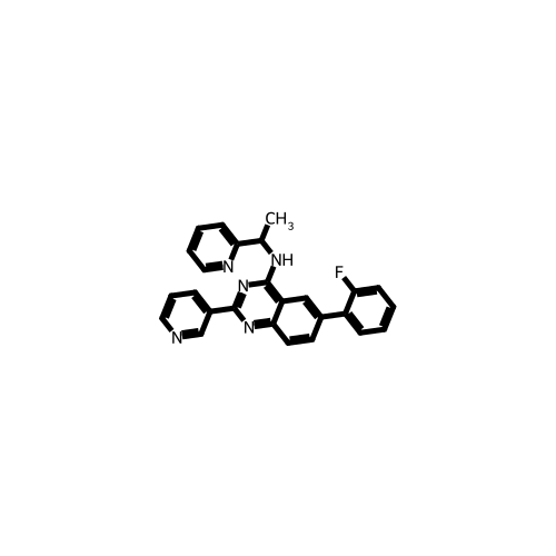 CC(Nc1nc(-c2cccnc2)nc2ccc(-c3ccccc3F)cc12)c1ccccn1